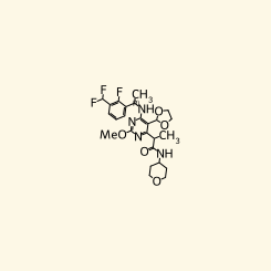 COc1nc(N[C@H](C)c2cccc(C(F)F)c2F)c(C2OCCO2)c(C(C)C(=O)NC2CCOCC2)n1